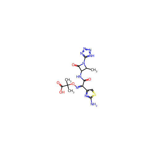 CC1C(NC(=O)C(=NOC(C)(C)C(=O)O)c2csc(N)n2)C(=O)N1c1nnn[nH]1